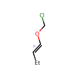 CC/C=C/OCCl